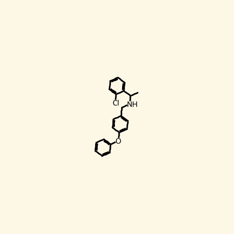 CC(NCc1ccc(Oc2ccccc2)cc1)c1ccccc1Cl